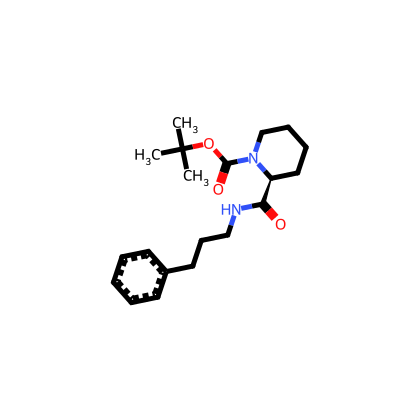 CC(C)(C)OC(=O)N1CCCC[C@H]1C(=O)NCCCc1ccccc1